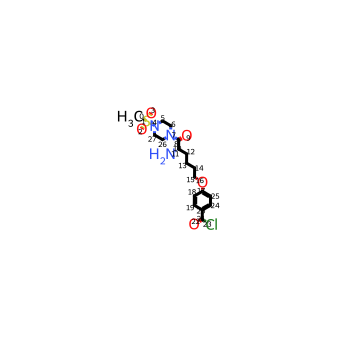 CS(=O)(=O)N1CCN(C(=O)[C@@H](N)CCCCOc2ccc(C(=O)Cl)cc2)CC1